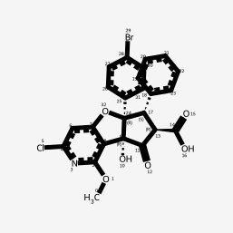 COc1nc(Cl)cc2c1[C@]1(O)C(=O)[C@H](C(=O)O)[C@@H](c3ccccc3)[C@]1(c1ccc(Br)cc1)O2